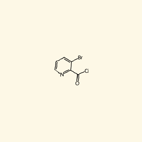 O=C(Cl)c1ncccc1Br